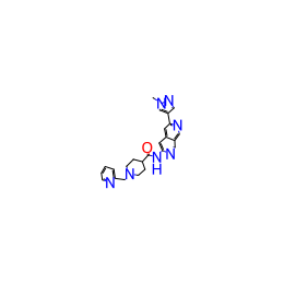 Cn1cc(-c2cc3cc(NC(=O)C4CCN(Cc5ccccn5)CC4)ncc3cn2)cn1